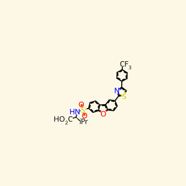 CC(C)[C@H](NS(=O)(=O)c1ccc2c(c1)oc1ccc(-c3nc(-c4ccc(C(F)(F)F)cc4)cs3)cc12)C(=O)O